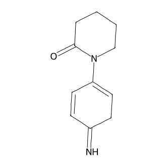 N=C1C=CC(N2CCCCC2=O)=CC1